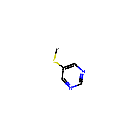 [CH2]Sc1cncnc1